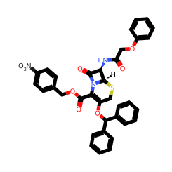 O=C(COc1ccccc1)N[C@@H]1C(=O)N2C(C(=O)OCc3ccc([N+](=O)[O-])cc3)=C(OC(c3ccccc3)c3ccccc3)CS[C@H]12